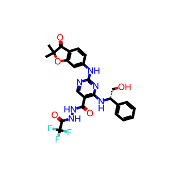 CC1(C)Oc2cc(Nc3ncc(C(=O)NNC(=O)C(F)(F)F)c(N[C@H](CO)c4ccccc4)n3)ccc2C1=O